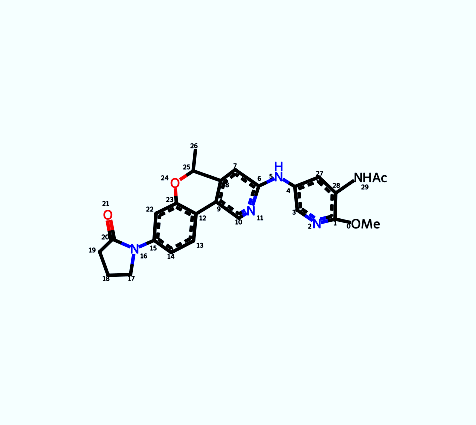 COc1ncc(Nc2cc3c(cn2)-c2ccc(N4CCCC4=O)cc2OC3C)cc1NC(C)=O